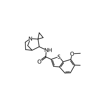 COc1c(C)ccc2cc(C(=O)NC3C4CCN(C4)C34CC4)sc12